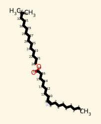 CCCCCCCC/C=C\CCCCCCCC(=O)OCCCCCCCCCCCCCC(C)C